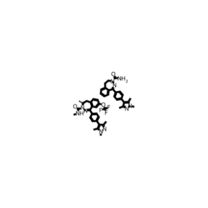 CNC(=O)N1N=C(c2ccc(-c3c(C)nn(C)c3C)cc2)c2cc(OC(F)(F)F)ccc2C[C@@H]1C.Cc1nn(C)c(C)c1-c1ccc(C2=NN(C(N)=O)CCc3ccccc32)cc1